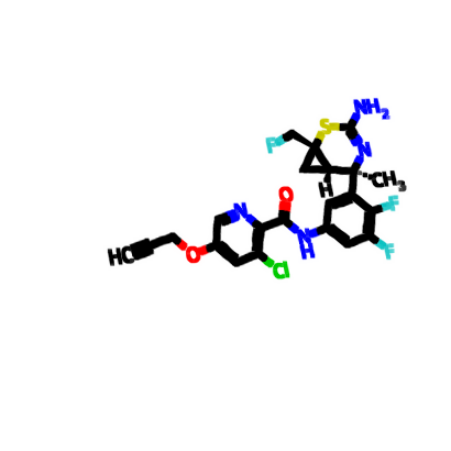 C#CCOc1cnc(C(=O)Nc2cc(F)c(F)c([C@]3(C)N=C(N)S[C@@]4(CF)C[C@H]43)c2)c(Cl)c1